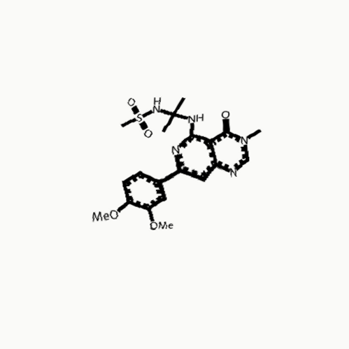 COc1ccc(-c2cc3ncn(C)c(=O)c3c(NC(C)(C)NS(C)(=O)=O)n2)cc1OC